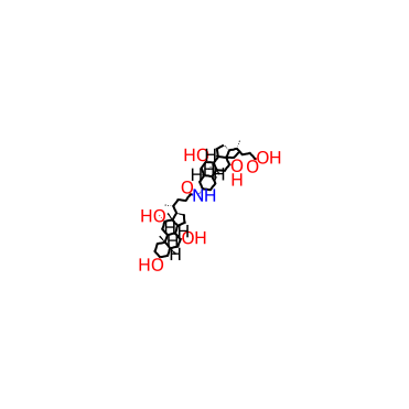 CCC12[C@@H]([C@H](C)CCC(=O)O)CC[C@H]1[C@@H]1[C@H](O)C[C@@H]3C[C@@H](NC(=O)CC[C@@H](C)[C@H]4CC[C@H]5[C@@H]6[C@H](O)C[C@@H]7C[C@H](O)CC[C@]7(C)[C@H]6C[C@H](O)[C@]45C)CC[C@]3(C)[C@H]1C[C@@H]2O